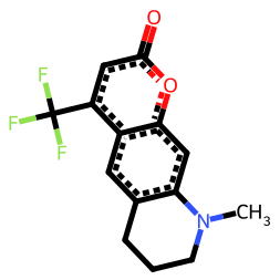 CN1CCCc2cc3c(C(F)(F)F)cc(=O)oc3cc21